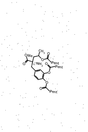 CCCC(C)C(=O)Oc1ccc(C[C@](N)(CC(C)OC(=O)C(C)CCC)C(=O)OC)cc1OC(=O)C(C)CCC